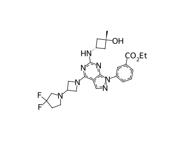 CCOC(=O)c1cccc(-n2ncc3c(N4CC(N5CCC(F)(F)C5)C4)nc(N[C@H]4C[C@@](C)(O)C4)nc32)c1